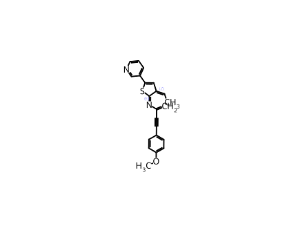 C=C(C#Cc1ccc(OC)cc1)/N=C1/SC(c2cccnc2)=C/C1=C/C